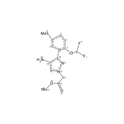 CSc1ccc(OC(F)F)c(-c2nn(CC(=O)OC(C)(C)C)cc2N)c1